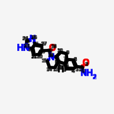 NC(=O)c1ccc2c(c1)CCC1[C@@H]2CCCN1C(=O)c1ccc2[nH]cnc2c1